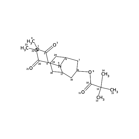 COC(=O)CN1C2CC(OC(=O)C(C)(C)C)CC1CC(C(=O)OC)C2